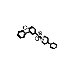 O=S(=O)(c1ccc2oc3ccccc3c2c1)N1CCC(C2C=CCC=C2)CC1